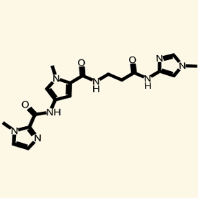 Cn1cnc(NC(=O)CCNC(=O)c2cc(NC(=O)c3nccn3C)cn2C)c1